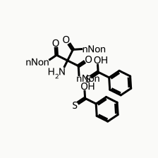 CCCCCCCCCC(=O)C(N)(C(=O)CCCCCCCCC)C(=O)CCCCCCCCC.OC(=S)c1ccccc1.OC(=S)c1ccccc1